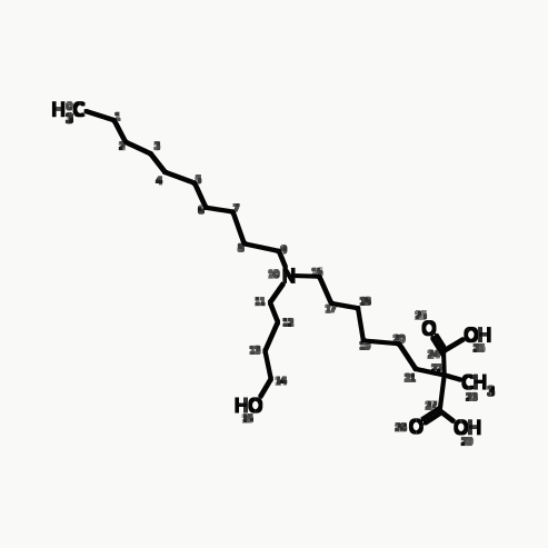 CCCCCCCCCCN(CCCCO)CCCCCCC(C)(C(=O)O)C(=O)O